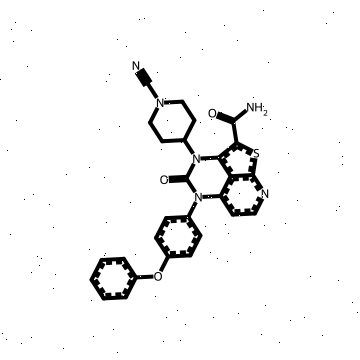 N#CN1CCC(N2C(=O)N(c3ccc(Oc4ccccc4)cc3)c3ccnc4sc(C(N)=O)c2c34)CC1